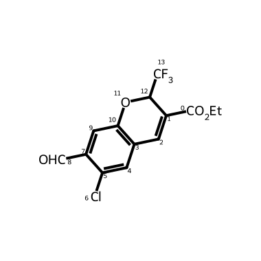 CCOC(=O)C1=Cc2cc(Cl)c(C=O)cc2OC1C(F)(F)F